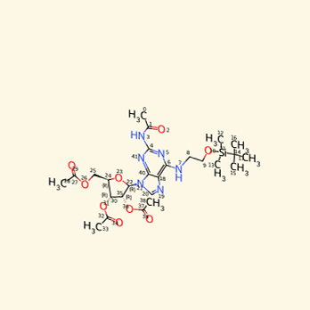 CC(=O)Nc1nc(NCCO[Si](C)(C)C(C)(C)C)c2ncn([C@@H]3O[C@H](COC(C)=O)[C@@H](OC(C)=O)[C@H]3OC(C)=O)c2n1